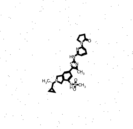 Cc1nc(Nc2cccc(N3CCCC3=O)n2)sc1-c1cc2c(c(NS(C)(=O)=O)c1)CN([C@@H](C)C1CC1)C2